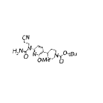 COc1nc(N(CCC#N)C(N)=O)ccc1C1CCN(C(=O)OC(C)(C)C)CC1